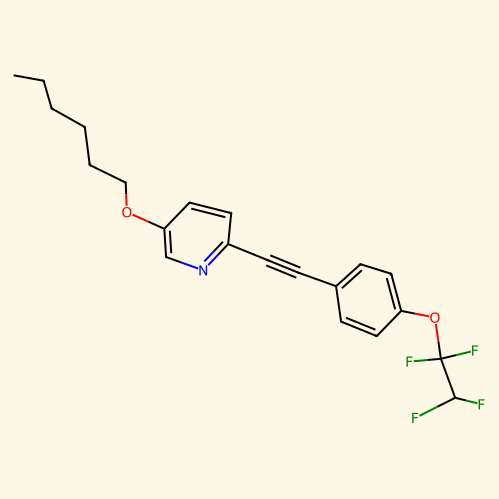 CCCCCCOc1ccc(C#Cc2ccc(OC(F)(F)C(F)F)cc2)nc1